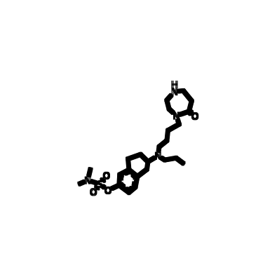 CCCN(CCCCN1CCNCCC1=O)C1CCc2cc(OS(=O)(=O)N(C)C)ccc2C1